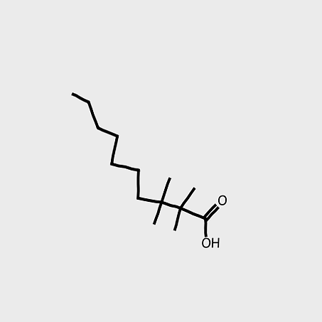 CCCCCCCC(C)(C)C(C)(C)C(=O)O